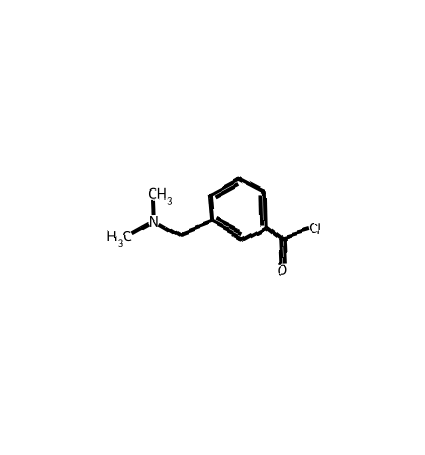 CN(C)Cc1cccc(C(=O)Cl)c1